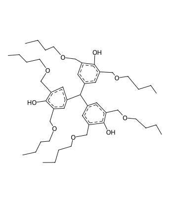 CCCCOCc1cc(C(c2cc(COCCCC)c(O)c(COCCCC)c2)c2cc(COCCCC)c(O)c(COCCCC)c2)cc(COCCCC)c1O